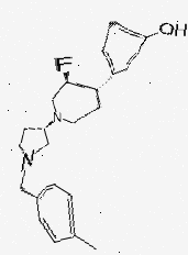 Cc1ccc(CN2CC[C@@H](N3CC[C@@H](c4ccc(O)cc4)[C@H](F)C3)C2)cc1